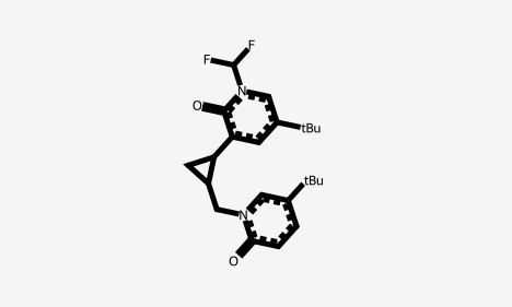 CC(C)(C)c1ccc(=O)n(CC2CC2c2cc(C(C)(C)C)cn(C(F)F)c2=O)c1